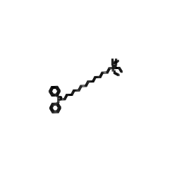 CC[PH](CC)(CC)CCCCCCCCCCCCCCP(c1ccccc1)c1ccccc1